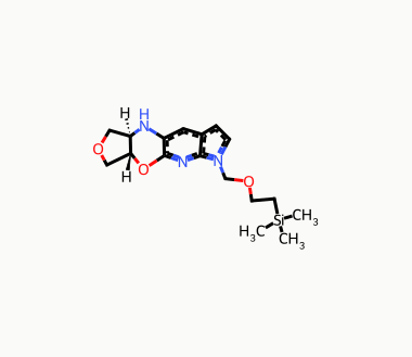 C[Si](C)(C)CCOCn1ccc2cc3c(nc21)O[C@@H]1COC[C@H]1N3